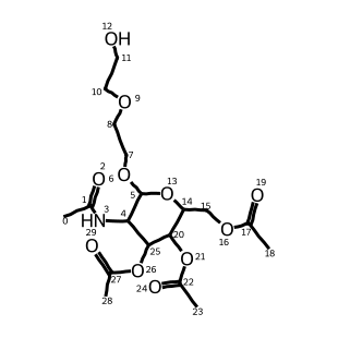 CC(=O)NC1C(OCCOCCO)OC(COC(C)=O)C(OC(C)=O)C1OC(C)=O